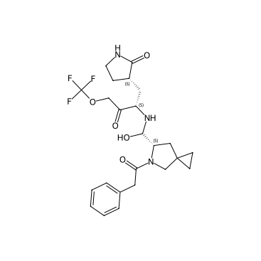 O=C1NCC[C@H]1C[C@H](NC(O)[C@@H]1CC2(CC2)CN1C(=O)Cc1ccccc1)C(=O)COC(F)(F)F